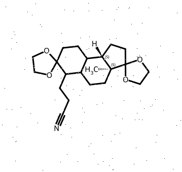 C[C@]12CCC3C(CCC4(OCCO4)C3CCC#N)[C@@H]1CCC21OCCO1